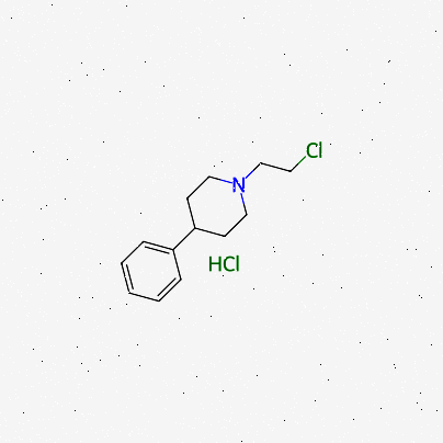 Cl.ClCCN1CCC(c2ccccc2)CC1